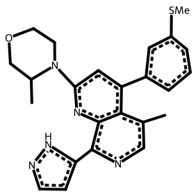 CSc1cccc(-c2cc(N3CCOCC3C)nc3c(-c4ccn[nH]4)ncc(C)c23)c1